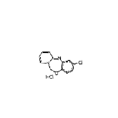 Cl.Clc1ccc2c(c1)N=C1C=CC=CN1CO2